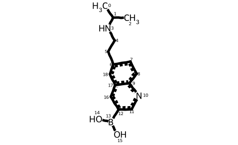 CC(C)NCCc1ccc2ncc(B(O)O)cc2c1